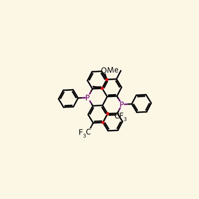 COc1c(C)cc(P(c2ccccc2)c2ccccc2)c(-c2c(P(c3ccccc3)c3ccccc3)cc(C(F)(F)F)cc2C(F)(F)F)c1C